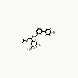 CC(=O)OCC(CCc1cccc(-c2ccc(O)cc2)c1)C(CC(N)=O)OC(C)=O